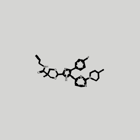 C=CCNC(=O)C1(C)COC(c2nc(-c3ccc(F)cc3)c(-c3ccnc(N4CCC(C)CC4)n3)[nH]2)OC1